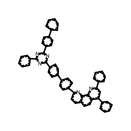 c1ccc(-c2ccc(-c3nc(-c4ccccc4)nc(-c4ccc(-c5ccc(-c6ccc7ccc8c(-c9ccccc9)cc(-c9ccccc9)nc8c7n6)cc5)cc4)n3)cc2)cc1